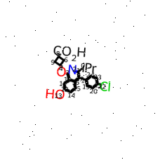 CC(C)c1nc(OC2CC(C(=O)O)C2)c2cc(O)ccc2c1-c1ccc(Cl)cc1